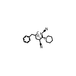 CC(Cc1ccccc1)CC(C#N)/C(=N/C#N)N1CCCCC1